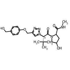 CNC(=O)C1CC(O)CN1C(=O)[C@@H](n1cc(COc2ccc(CO)cc2)nn1)C(C)(C)C